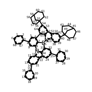 c1ccc(-c2cc3c4c(c2)-n2c5ccc(-c6ccccc6)cc5c5cc(-c6ccccc6)cc(c52)B4n2c4ccc(C56CCCC(CCC5)C6)cc4c4cc(C56CCCC(CCC5)C6)cc-3c42)cc1